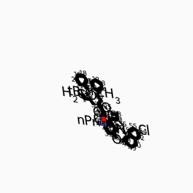 C=CCC[C@@H](C[C@H](C)O[Si](c1ccccc1)(c1ccccc1)C(C)(C)C)S(=O)(=O)NC(=O)c1ccc2c(c1)N(C[C@@H]1CC[C@H]1[C@@H](O)/C=C/CCC)C[C@@]1(CCCc3cc(Cl)ccc31)CO2